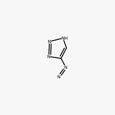 [N]=Nc1c[nH]nn1